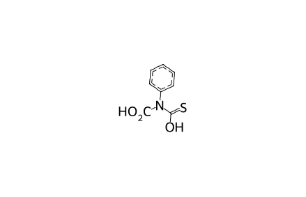 O=C(O)N(C(O)=S)c1ccccc1